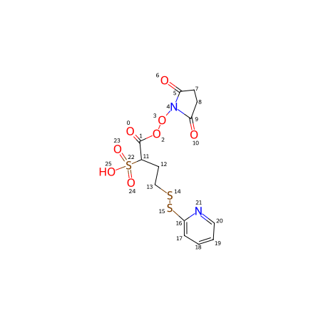 O=C(OON1C(=O)CCC1=O)C(CCSSc1ccccn1)S(=O)(=O)O